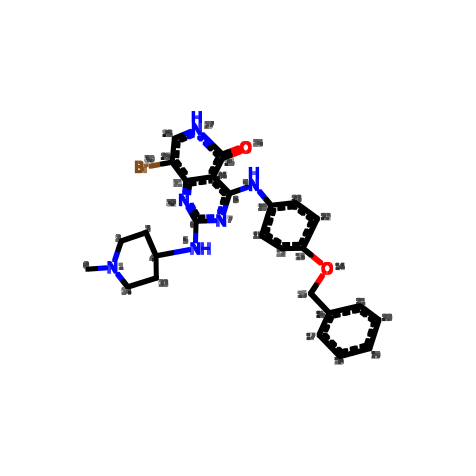 CN1CCC(Nc2nc(Nc3ccc(OCc4ccccc4)cc3)c3c(=O)[nH]cc(Br)c3n2)CC1